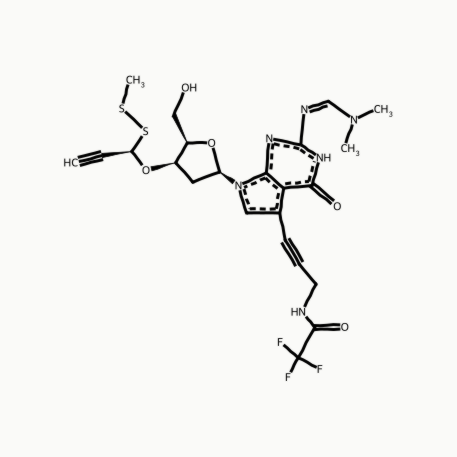 C#C[C@H](O[C@@H]1C[C@H](n2cc(C#CCNC(=O)C(F)(F)F)c3c(=O)[nH]c(/N=C\N(C)C)nc32)O[C@@H]1CO)SSC